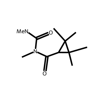 CNC(=O)N(C)C(=O)C1C(C)(C)C1(C)C